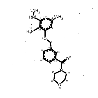 NNc1nc(N)cc(OCc2cccc(C(=O)N3CCOCC3)c2)c1N